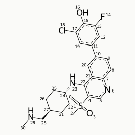 C=S(C)(=O)c1cnc2ccc(-c3cc(F)c(O)c(Cl)c3)cc2c1N[C@H]1CC[C@H](CNC)CC1